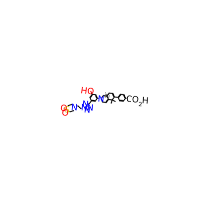 CC1(C)C(c2ccc(C(=O)O)cc2)=CC[C@]2(C)CN(c3cc(O)cc(-c4nnn(CCN5CCS(=O)(=O)CC5)n4)c3)CC=C12